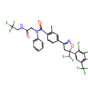 Cc1cc(C2=NOC(c3cc(C(F)(F)F)cc(Cl)c3F)(C(F)F)C2)ccc1C(=O)N(CC(=O)NCC(F)(F)F)c1ccccc1